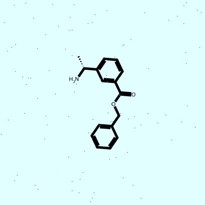 C[C@@H](N)c1cccc(C(=O)OCc2ccccc2)c1